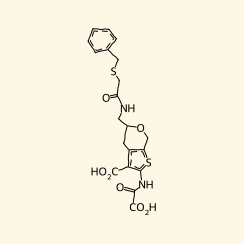 O=C(CSCc1ccccc1)NCC1Cc2c(sc(NC(=O)C(=O)O)c2C(=O)O)CO1